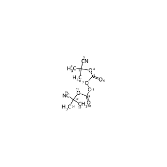 CC(C)(C#N)OC(=O)OOC(=O)OC(C)(C)C#N